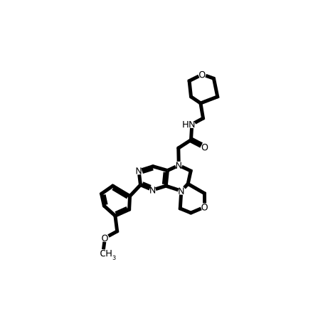 COCc1cccc(-c2ncc3c(n2)N2CCOCC2CN3CC(=O)NCC2CCOCC2)c1